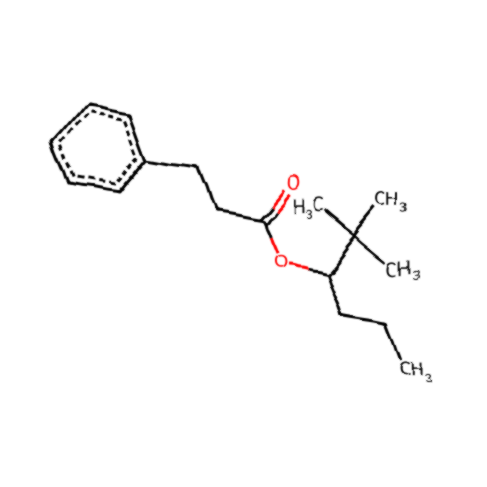 CCCC(OC(=O)CCc1ccccc1)C(C)(C)C